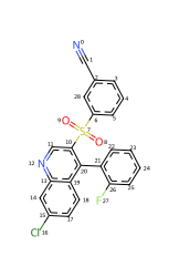 N#Cc1cccc(S(=O)(=O)c2cnc3cc(Cl)ccc3c2-c2ccccc2F)c1